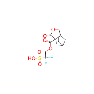 O=C(OCC(F)(F)S(=O)(=O)O)C12CC3CC(OC1=O)C2C3